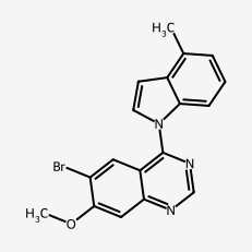 COc1cc2ncnc(-n3ccc4c(C)cccc43)c2cc1Br